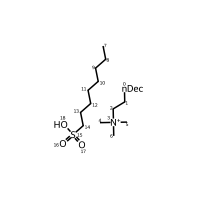 CCCCCCCCCCCC[N+](C)(C)C.CCCCCCCCS(=O)(=O)O